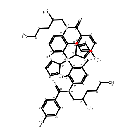 Cc1ccc(C(=O)N(CC(C)CCCO)c2ccc(F)[c]([Ti]([c]3c(F)ccc(N(CC(C)CCCO)C(=O)c4ccc(C)cc4)c3F)([CH]3C=CC=C3)[CH]3C=CC=C3)c2F)cc1